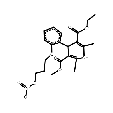 CCOC(=O)C1=C(C)NC(C)=C(C(=O)OC)C1c1ccccc1OCCCO[N+](=O)[O-]